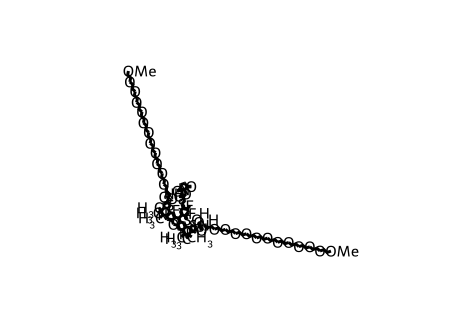 COCCOCCOCCOCCOCCOCCOCCOCCOCCOCCOCCOCCNS(=O)(=O)C1=CC2C(S1)c1cc3c(cc1N(C)C2(C)C)Oc1cc2c(cc1=C3c1c(F)c(SCC(=O)ON3C(=O)CCC3=O)c(F)c(F)c1S(=O)(=O)O)-c1sc(S(=O)(=O)NCCOCCOCCOCCOCCOCCOCCOCCOCCOCCOCCOCCOC)cc1C(C)(C)[N+]=2C